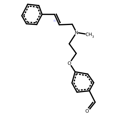 CN(C/C=C/c1ccccc1)CCOc1ccc(C=O)cc1